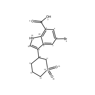 O=C(O)c1cc(Br)cc2c(C3CCCS(=O)(=O)C3)c[nH]c12